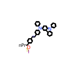 CCCC(OSI)c1ccc(/C=C/c2ccc(N(c3ccccc3)c3ccc4c(c3)c3ccccc3n4-c3ccccc3)cc2)cc1